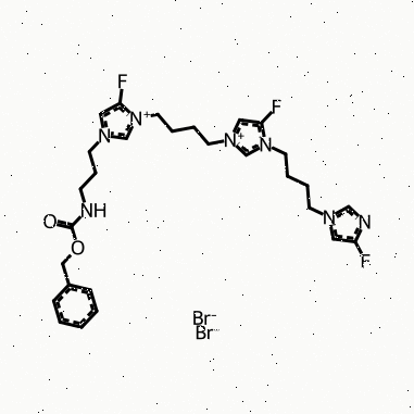 O=C(NCCCn1cc(F)[n+](CCCC[n+]2cc(F)n(CCCCn3cnc(F)c3)c2)c1)OCc1ccccc1.[Br-].[Br-]